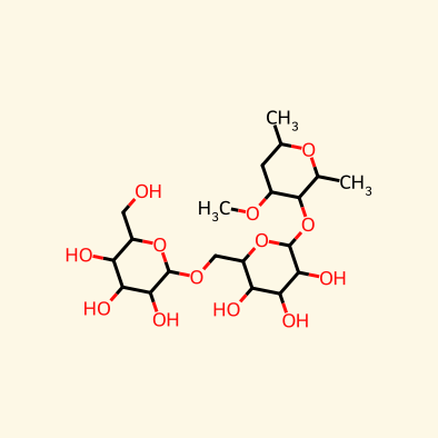 COC1CC(C)OC(C)C1OC1OC(COC2OC(CO)C(O)C(O)C2O)C(O)C(O)C1O